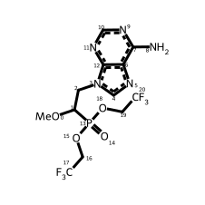 COC(Cn1cnc2c(N)ncnc21)P(=O)(OCC(F)(F)F)OCC(F)(F)F